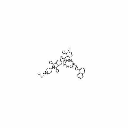 CN1CCC(N2C(=O)c3cc4nc(-c5c(NC[C@@H](O)COc6cccc7ccccc67)cc[nH]c5=O)[nH]c4cc3C2=O)CC1